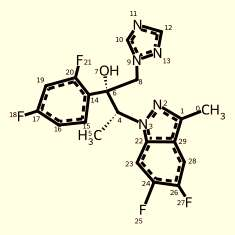 Cc1nn([C@H](C)[C@](O)(Cn2cncn2)c2ccc(F)cc2F)c2cc(F)c(F)cc12